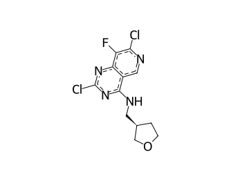 Fc1c(Cl)ncc2c(NC[C@H]3CCOC3)nc(Cl)nc12